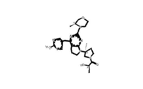 C[C@@H](O)C(=O)N1CC[C@](C)(N2CCc3c(-c4cnc(N)nc4)nc(N4CCOC[C@@H]4C)nc32)C1